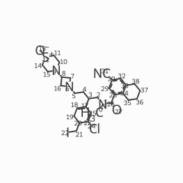 CN(CC(CCN1CC(N2CC[S+]([O-])CC2)C1)C1=CCC(CI)C(Cl)=C1)C(=O)c1cc(C#N)cc2c1CCCC2